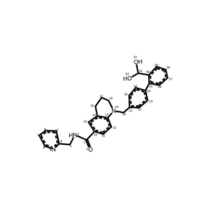 O=C(NCc1ccccn1)c1ccc2c(c1)CCCN2Cc1ccc(-c2ccccc2C(O)O)cc1